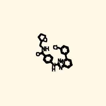 O=C(NCC1CCCO1)c1ccc(Nc2nc3cccc(-c4cccc(Cl)c4)n3n2)cc1